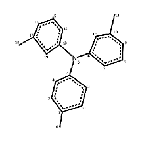 Cc1ccc(N(c2cccc(C)c2)c2cccc(C)c2)cc1